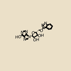 Oc1ncnc2c1ncn2[C@@H]1O[C@H](COn2nnc3ccccc32)[C@@H](O)[C@H]1O